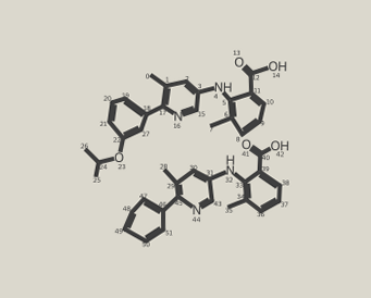 Cc1cc(Nc2c(C)cccc2C(=O)O)cnc1-c1cccc(OC(C)C)c1.Cc1cc(Nc2c(C)cccc2C(=O)O)cnc1-c1ccccc1